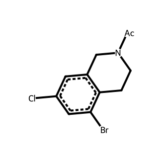 CC(=O)N1CCc2c(Br)cc(Cl)cc2C1